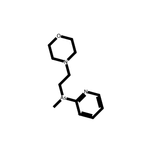 C[As](CCN1CCOCC1)c1[c]cccn1